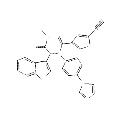 C#Cc1nc(C(=O)N(c2ccc(-n3ccnc3)cc2)C(C(=O)NC(C)(C)C)c2csc3ccccc23)cs1